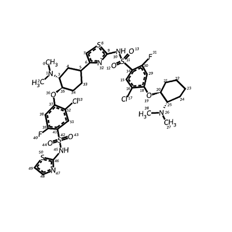 CN(C)[C@@H]1CC(c2csc(NS(=O)(=O)c3cc(Cl)c(O[C@H]4CCCC[C@@H]4N(C)C)cc3F)n2)CC[C@H]1Oc1cc(F)c(S(=O)(=O)Nc2nccs2)cc1Cl